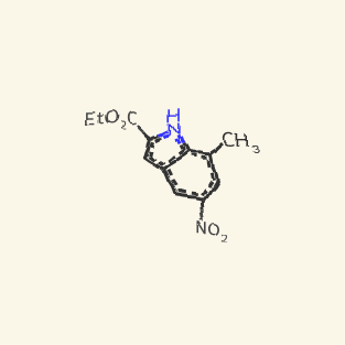 CCOC(=O)c1cc2cc([N+](=O)[O-])cc(C)c2[nH]1